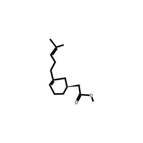 COC(=O)C[C@H]1CCC=C(CCC=C(C)C)C1